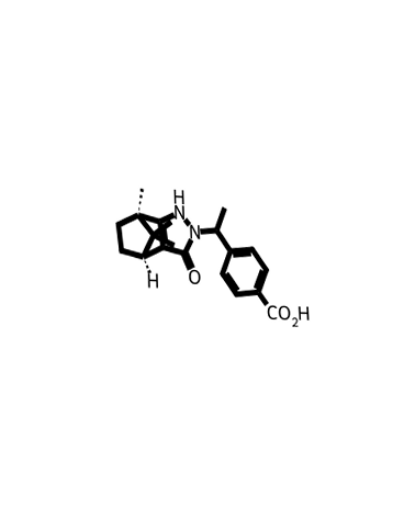 CC(c1ccc(C(=O)O)cc1)n1[nH]c2c(c1=O)[C@H]1CC[C@]2(C)C1(C)C